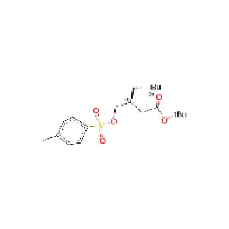 CC[C@@H](C)C[C@H](COS(=O)(=O)c1ccc(C)cc1)CC(=O)OC(C)(C)C